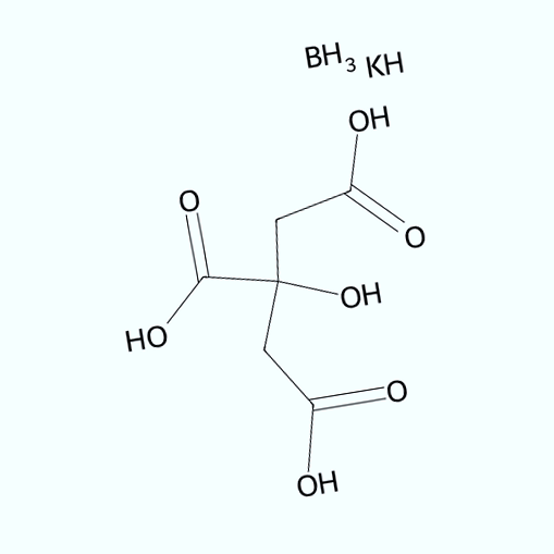 B.O=C(O)CC(O)(CC(=O)O)C(=O)O.[KH]